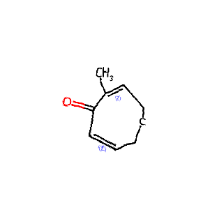 C/C1=C/CCC/C=C\C1=O